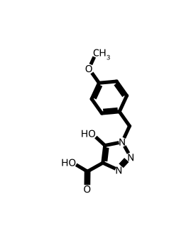 COc1ccc(Cn2nnc(C(=O)O)c2O)cc1